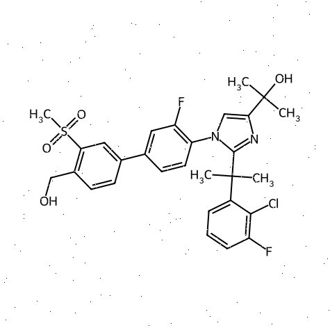 CC(C)(O)c1cn(-c2ccc(-c3ccc(CO)c(S(C)(=O)=O)c3)cc2F)c(C(C)(C)c2cccc(F)c2Cl)n1